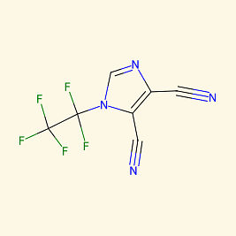 N#Cc1ncn(C(F)(F)C(F)(F)F)c1C#N